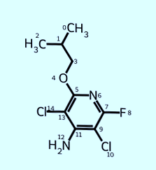 CC(C)COc1nc(F)c(Cl)c(N)c1Cl